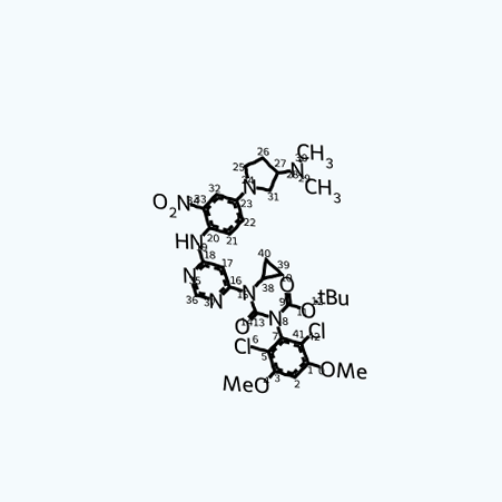 COc1cc(OC)c(Cl)c(N(C(=O)OC(C)(C)C)C(=O)N(c2cc(Nc3ccc(N4CCC(N(C)C)C4)cc3[N+](=O)[O-])ncn2)C2CC2)c1Cl